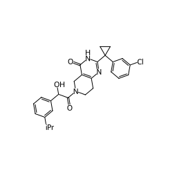 CC(C)c1cccc(C(O)C(=O)N2CCc3nc(C4(c5cccc(Cl)c5)CC4)[nH]c(=O)c3C2)c1